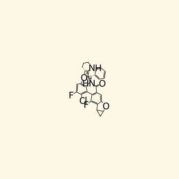 CNC(=O)c1cc2c(c(F)c1-c1c(Cl)c(F)cc3c1C[C@](c1ccccc1)([C@@H]1CCCN1)O3)C1CC1O2